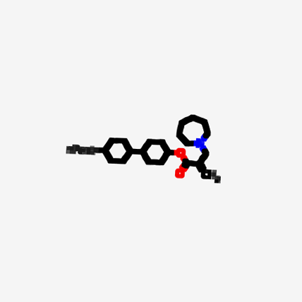 C=C(CN1CCCCCC1)C(=O)OC1CCC(C2CCC(CCCCC)CC2)CC1